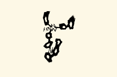 c1ccc(-c2ccc(C3=NC(c4ccccc4)NC(c4ccc(-c5cccc(-n6c7ccccc7c7ccc8ccccc8c76)c5)cc4)=N3)cc2)cc1